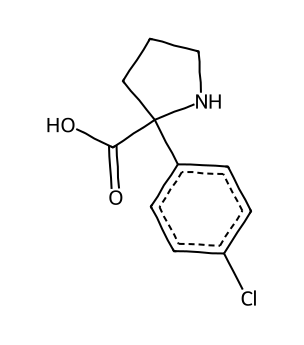 O=C(O)C1(c2ccc(Cl)cc2)CCCN1